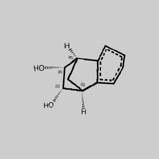 O[C@@H]1[C@H](O)[C@@H]2C[C@H]1c1ccccc12